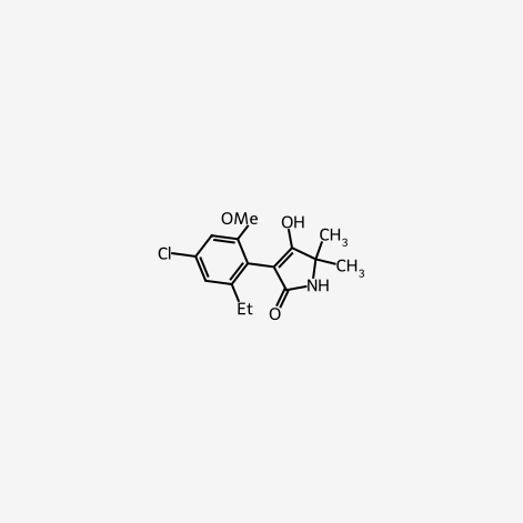 CCc1cc(Cl)cc(OC)c1C1=C(O)C(C)(C)NC1=O